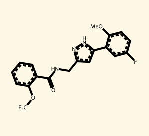 COc1ccc(F)cc1-c1cc(CNC(=O)c2ccccc2OC(F)(F)F)n[nH]1